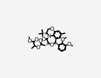 COC(=O)C(C)OC(=O)C[C@H]1O[C@H](c2cccc(OC)c2OC)c2cc(C)cc3c2N(C1=O)[C@H](C(C)(C)C)CO3